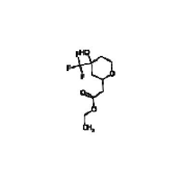 CCOC(=O)CC1CC(O)(C(F)(F)F)CCO1